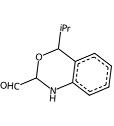 CC(C)C1OC(C=O)Nc2ccccc21